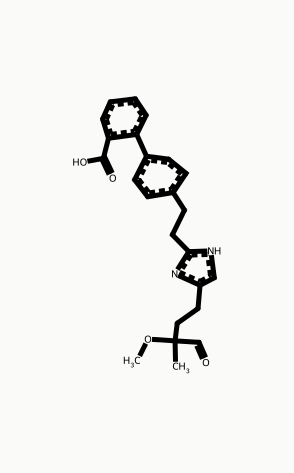 COC(C)(C=O)CCc1c[nH]c(CCc2ccc(-c3ccccc3C(=O)O)cc2)n1